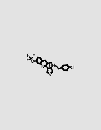 FC(F)(F)Oc1ccc2cc(CNCCc3ccc(Cl)cc3)c(-c3ccsc3)nc2c1